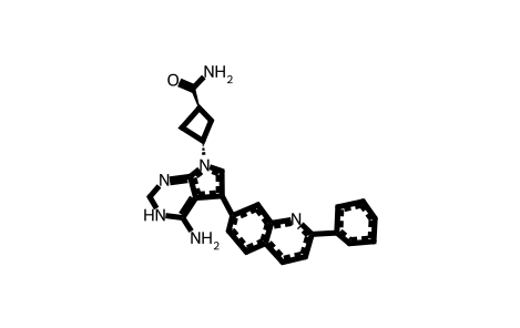 NC1=c2c(-c3ccc4ccc(-c5ccccc5)nc4c3)cn([C@H]3C[C@H](C(N)=O)C3)c2=NCN1